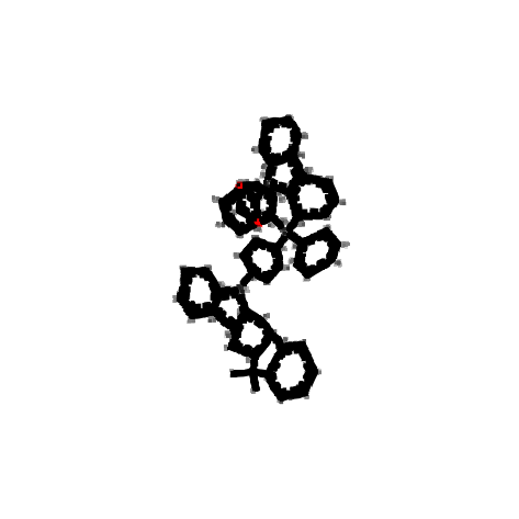 CC1(C)c2ccccc2-c2cc3c(cc21)c1ccccc1n3-c1ccc([Si](c2ccccc2)(c2ccccc2)c2cccc3c4ccccc4n(-c4ccccc4)c23)cc1